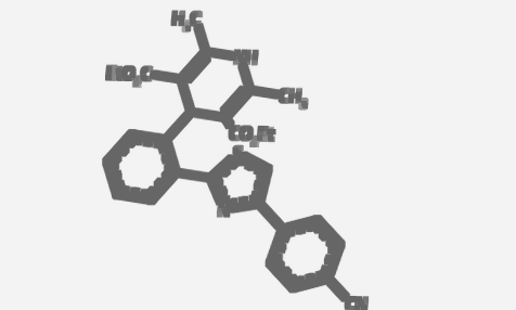 CCOC(=O)C1=C(C)NC(C)=C(C(=O)OCC)C1c1ccccc1-c1nc(-c2ccc(C#N)cc2)cs1